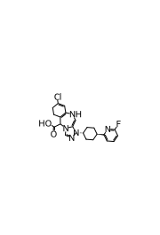 O=C(O)C1C2=C(C=C(Cl)CC2)NC=C2N1C=NN2[C@H]1CC[C@H](c2cccc(F)n2)CC1